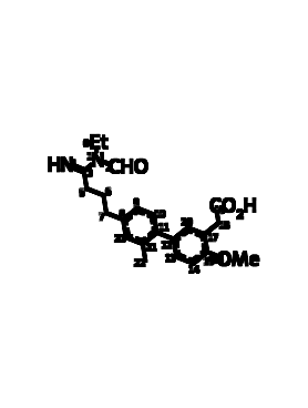 CCN(C=O)C(=N)CCCc1ccc(-c2ccc(OC)c(CC(=O)O)c2)c(C)c1